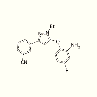 CCn1nc(-c2cccc(C#N)c2)cc1Oc1ccc(F)cc1N